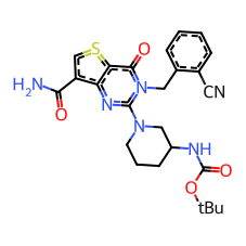 CC(C)(C)OC(=O)NC1CCCN(c2nc3c(C(N)=O)csc3c(=O)n2Cc2ccccc2C#N)C1